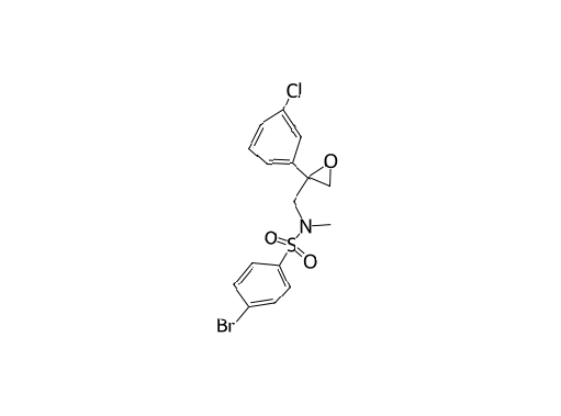 CN(CC1(c2cccc(Cl)c2)CO1)S(=O)(=O)c1ccc(Br)cc1